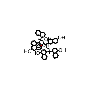 CC(CC(c1ccc2cc(O)ccc2c1)C(CCC(C)(c1ccc(O)c2ccccc12)c1ccc(O)c2ccccc12)c1ccc2cc(O)ccc2c1)(c1c(O)ccc2ccccc12)c1c(O)ccc2ccccc12